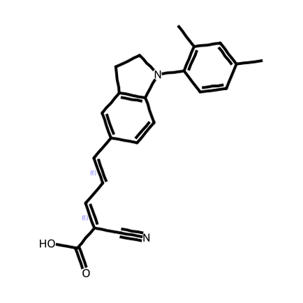 Cc1ccc(N2CCc3cc(/C=C/C=C(\C#N)C(=O)O)ccc32)c(C)c1